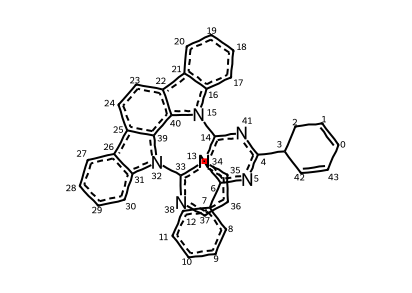 C1=CCC(c2nc(-c3ccccc3)nc(-n3c4ccccc4c4ccc5c6ccccc6n(-c6ncccn6)c5c43)n2)C=C1